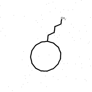 [CH2]CCCCC1CCCCCCCCCCCCCC1